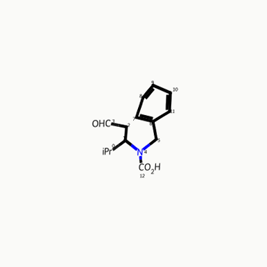 CC(C)C(CC=O)N(Cc1ccccc1)C(=O)O